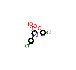 COc1cc(Cl)ccc1-c1cc(OC(=O)O)cc(-c2ccc(Cl)cc2)n1